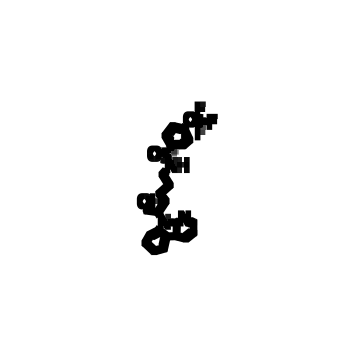 [O-][S+](NCCCCC(CO)N1C2=CCCC=C2C2C=CC=NC21)c1ccc(OC(F)(F)F)cc1